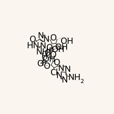 Nc1nc2c(ncn2[C@@H]2O[C@H](CO)[C@@H](O)[C@H]2OP(=O)(O)OC[C@H]2O[C@@H](n3cnc4c(N)ncnc43)[C@@H](Cl)[C@@H]2O[PH](=O)O)c(=O)[nH]1